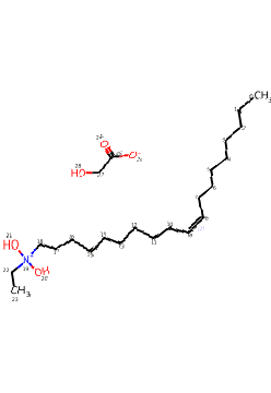 CCCCCCCC/C=C\CCCCCCCCC[N+](O)(O)CC.O=C([O-])CO